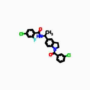 CC(NC(=O)c1ccc(Cl)cc1F)c1ccc2c(c1)CCN2C(=O)c1cccc(Cl)c1